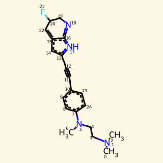 CN(C)CCN(C)c1ccc(C#Cc2cc3c([nH]2)=NCC(F)C=3)cc1